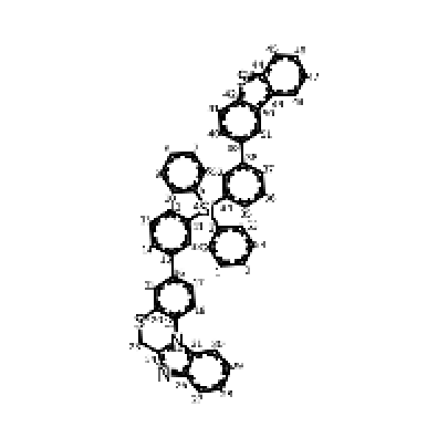 c1ccc([Si](c2ccccc2)(c2cccc(-c3ccc4c(c3)SCc3nc5ccccc5n3-4)c2)c2cccc(-c3ccc4sc5ccccc5c4c3)c2)cc1